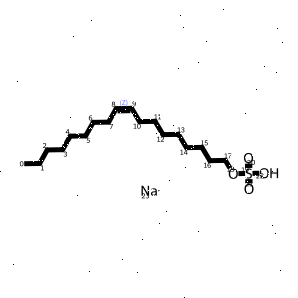 CCCCCCCC/C=C\CCCCCCCCOS(=O)(=O)O.[Na]